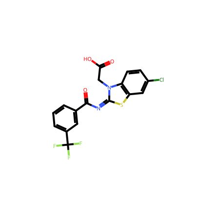 O=C(O)Cn1c(=NC(=O)c2cccc(C(F)(F)F)c2)sc2cc(Cl)ccc21